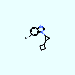 N#Cc1ccc2ncn(C3CC3C3CCC3)c2c1